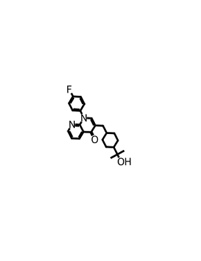 CC(C)(O)C1CCC(Cc2cn(-c3ccc(F)cc3)c3ncccc3c2=O)CC1